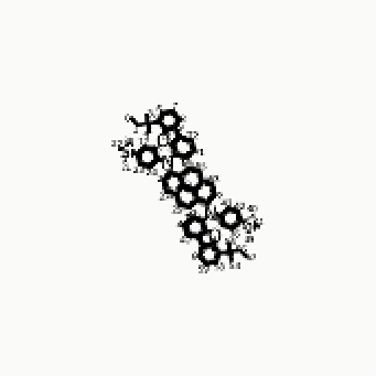 CCC(C)(C)c1cccc2c1oc1c(N(c3ccc([Si](C)(C)C)cc3)c3ccc4ccc5c(N(c6ccc([Si](C)(C)C)cc6)c6cccc7c6oc6c(C(C)(C)CC)cccc67)ccc6ccc3c4c65)cccc12